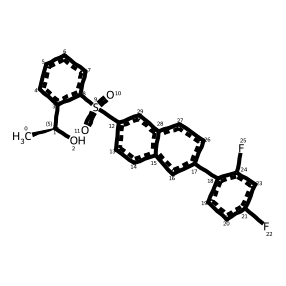 C[C@H](O)c1ccccc1S(=O)(=O)c1ccc2cc(-c3ccc(F)cc3F)ccc2c1